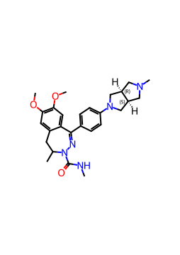 CNC(=O)N1N=C(c2ccc(N3C[C@H]4CN(C)C[C@H]4C3)cc2)c2cc(OC)c(OC)cc2CC1C